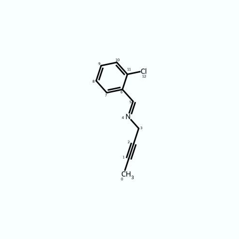 CC#CCN=Cc1ccccc1Cl